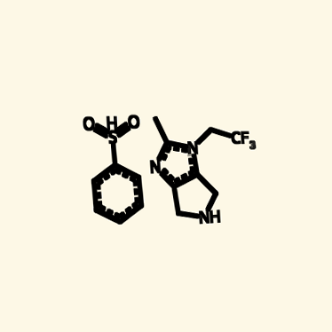 Cc1nc2c(n1CC(F)(F)F)CNC2.O=[SH](=O)c1ccccc1